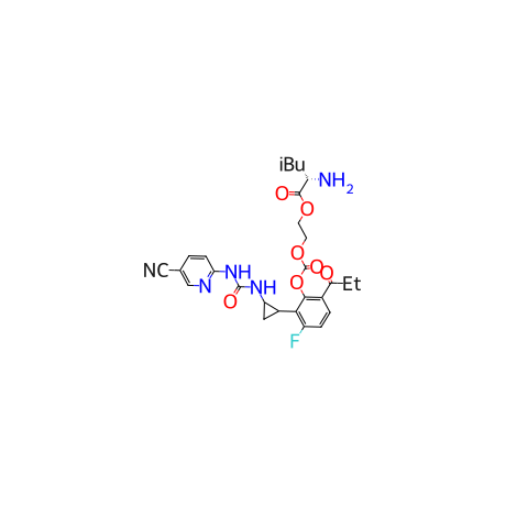 CCC(=O)c1ccc(F)c(C2CC2NC(=O)Nc2ccc(C#N)cn2)c1OC(=O)OCCOC(=O)[C@@H](N)[C@@H](C)CC